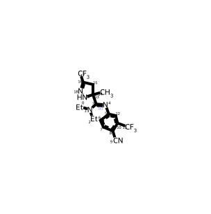 CCN(CC)/C(=N\c1ccc(C#N)c(C(F)(F)F)c1)C1(C)CC(C(F)(F)F)=NN1